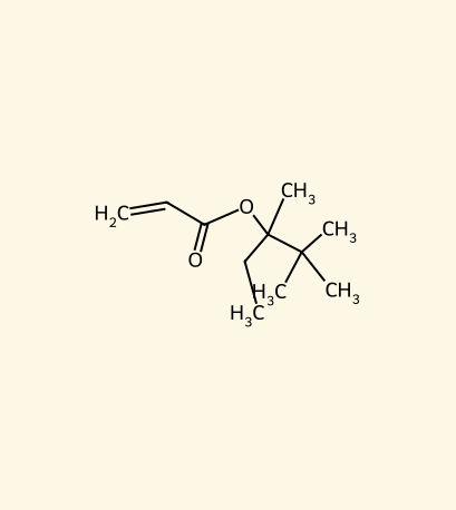 C=CC(=O)OC(C)(CC)C(C)(C)C